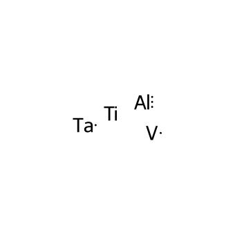 [Al].[Ta].[Ti].[V]